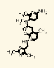 Cc1nc(C)c(CNn2ccc(C)c(CC(=O)N(C)c3ccc(N)nc3C)c2=O)s1